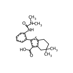 CN(C)C(=O)Nc1ccccc1-c1sc2c(c1C(=O)O)CC(C)(C)CC2